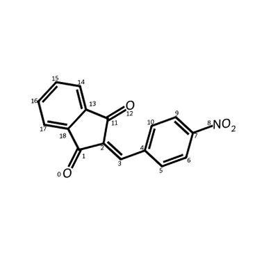 O=C1C(=Cc2ccc([N+](=O)[O-])cc2)C(=O)c2ccccc21